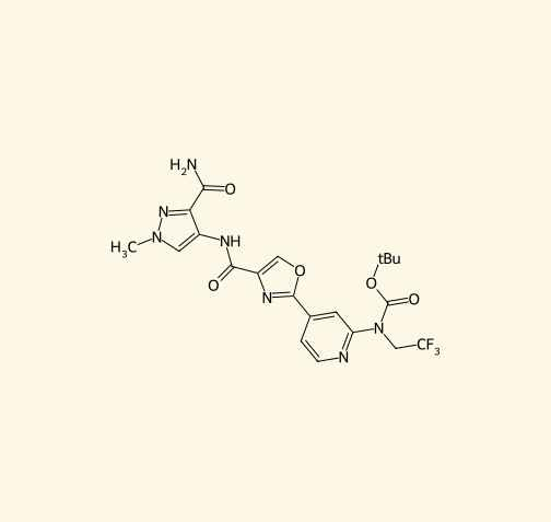 Cn1cc(NC(=O)c2coc(-c3ccnc(N(CC(F)(F)F)C(=O)OC(C)(C)C)c3)n2)c(C(N)=O)n1